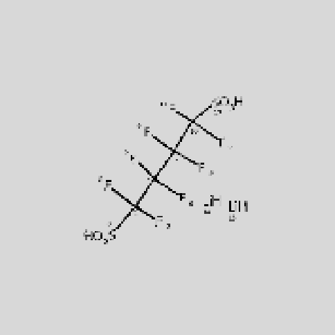 O=S(=O)(O)C(F)(F)C(F)(F)C(F)(F)C(F)(F)S(=O)(=O)O.[LiH].[LiH]